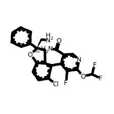 NC[C@@]1(c2ccccc2)Cc2c(ccc(Cl)c2-c2c(C(N)=O)cnc(OC(F)F)c2F)O1